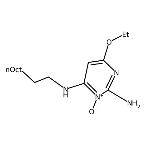 CCCCCCCCCCNc1cc(OCC)nc(N)[n+]1[O-]